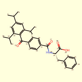 CC(C)c1cc(C(C)C)c(C(=O)c2ccc(C(=O)N[C@@H](Cc3ccccc3)C(=O)O)cc2)c(C(C)C)c1